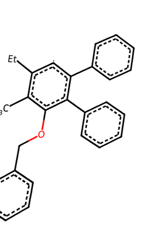 CCc1[c]c(-c2ccccc2)c(-c2ccccc2)c(OCc2ccccc2)c1C